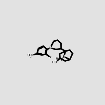 O=C(O)N1C2CCC1(C1CCCN(c3ccc([N+](=O)[O-])cc3F)C1)CC(O)C2